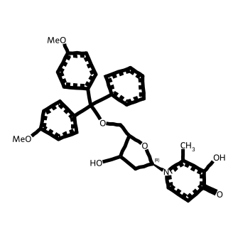 COc1ccc(C(OCC2O[C@@H](n3ccc(=O)c(O)c3C)CC2O)(c2ccccc2)c2ccc(OC)cc2)cc1